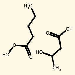 CC(O)CC(=O)O.CCCCC(=O)OO